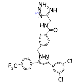 N=C(CNC(=O)c1ccc(Cn2nc(-c3cc(Cl)cc(Cl)c3)cc2-c2ccc(C(F)(F)F)cc2)cc1)/N=N\N